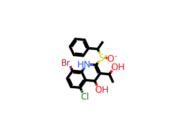 CC(O)C1=C([S+]([O-])C(C)c2ccccc2)Nc2c(Br)ccc(Cl)c2C1O